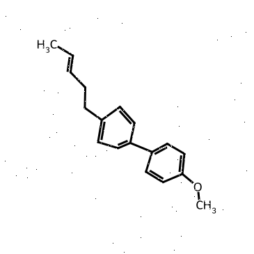 CC=CCCc1ccc(-c2ccc(OC)cc2)cc1